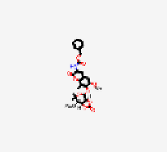 CCCOc1cc2cc(NC(=O)OCc3ccccc3)c(=O)oc2c(C)c1O[C@@H]1OC(C)(C)[C@H](OC)[C@@H]2OC(=O)O[C@H]12